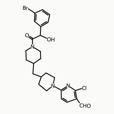 O=Cc1ccc(N2CCC(CC3CCN(C(=O)C(O)c4cccc(Br)c4)CC3)CC2)nc1Cl